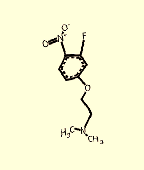 CN(C)CCOc1ccc([N+](=O)[O-])c(F)c1